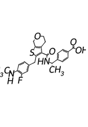 CNc1ccc(Cc2sc3c(c2C(=O)N[C@@H](C)c2ccc(C(=O)O)cc2)CCOC3)cc1F